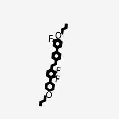 C=CCCOc1ccc(-c2ccc(CCc3ccc(C4CCC(OCCCC)CC4)c(F)c3F)cc2)cc1F